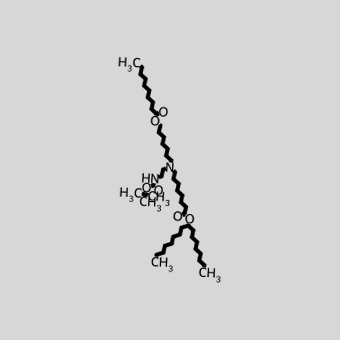 CCCCCCCCCC(=O)OCCCCCCCN(CCCCCCCC(=O)OC(CCCCCCCC)CCCCCCCC)CCNC(=O)OC(C)(C)C